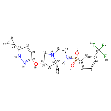 O=S(=O)(c1cccc(C(F)(F)F)c1)N1CCN2C[C@@H](Oc3ccc(C4CC4)nn3)C[C@H]2C1